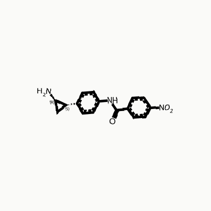 N[C@@H]1C[C@H]1c1ccc(NC(=O)c2ccc([N+](=O)[O-])cc2)cc1